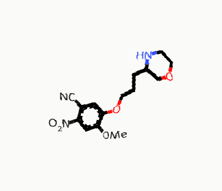 COc1cc([N+](=O)[O-])c(C#N)cc1OCCCC1COCCN1